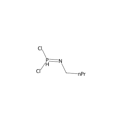 CCCCN=[PH](Cl)Cl